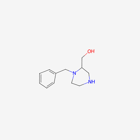 OCC1CNCCN1Cc1ccccc1